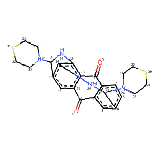 O=C1c2cc3ccc2C(=O)c2c1cc1c(c2NC1N1CCSCC1)NC3N1CCSCC1